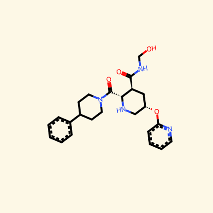 O=C(NCO)[C@H]1C[C@H](Oc2ccccn2)CN[C@@H]1C(=O)N1CCC(c2ccccc2)CC1